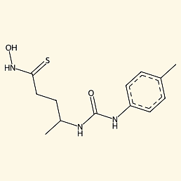 Cc1ccc(NC(=O)NC(C)CCC(=S)NO)cc1